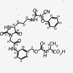 C[C@H](NC(=O)OCc1cccc(NC(=O)CN2C(=O)N[C@@H](CCCNC(=O)N(C#N)Oc3ccccc3)C2=O)c1)C(=O)O